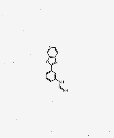 N=NNc1cccc(-c2nc3ccncc3o2)c1